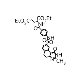 CCOC(=O)CC[C@H](NC(=O)c1ccc(NS(=O)(=O)c2ccc3c(c2)-c2c(nc(C)[nH]c2=O)CC3)cc1)C(=O)OCC